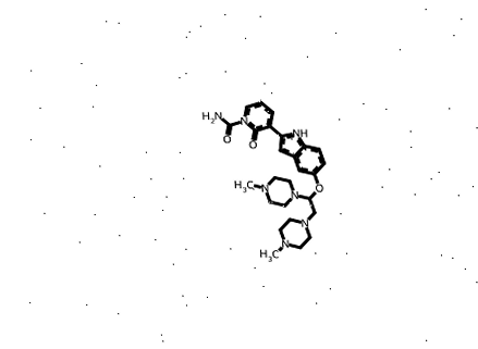 CN1CCN(CC(Oc2ccc3[nH]c(-c4c[c]cn(C(N)=O)c4=O)cc3c2)N2CCN(C)CC2)CC1